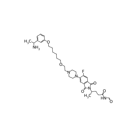 CC(N)c1cccc(OCCCCCCOCCN2CCN(c3cc4c(cc3F)C(=O)N(C(C)CCC(=O)NC=O)C4=O)CC2)c1